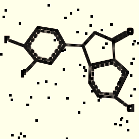 O=C1CC(c2ccc(F)c(F)c2)c2ccc(Cl)cc21